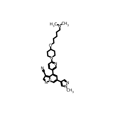 CN(C)CCCCCOC1CCN(c2ccc(-c3cc(-c4cnn(C)c4)cn4ncc(C#N)c34)cn2)CC1